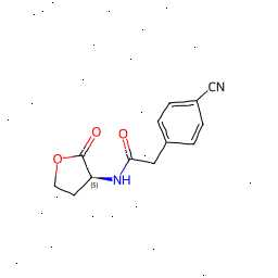 N#Cc1ccc(CC(=O)N[C@H]2CCOC2=O)cc1